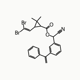 C=C(c1ccccc1)c1cccc(C(C#N)OC(=O)C2C(C=C(Br)Br)C2(C)C)c1